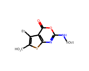 CCCCCCCCNc1nc2sc(C(=O)O)c(CC)c2c(=O)o1